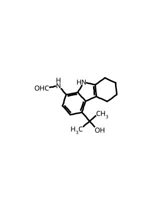 CC(C)(O)c1ccc(NC=O)c2[nH]c3c(c12)CCCC3